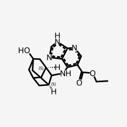 CCOC(=O)c1cnc2[nH]cnc2c1NC1[C@H]2CC3C[C@H]1CC(O)(C3)C2